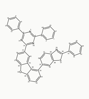 c1ccc(-c2nc(-c3ccccc3)nc(-c3ccc4oc5cccc(-c6ccc7nc(-c8ccccc8)sc7c6)c5c4c3)n2)cc1